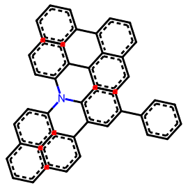 c1ccc(-c2ccc(N(c3ccc4ccccc4c3)c3ccccc3-c3cccc4cccc(-c5ccccc5)c34)c(-c3ccccc3)c2)cc1